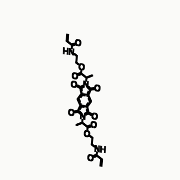 C=CC(=O)NCCOC(=O)C(C)n1c(=O)c2cc3c(=O)n(C(C)C(=O)OCCNC(=O)C=C)c(=O)c3cc2c1=O